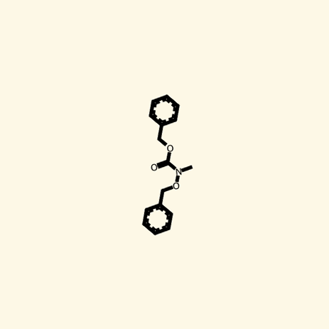 CN(OCc1ccccc1)C(=O)OCc1ccccc1